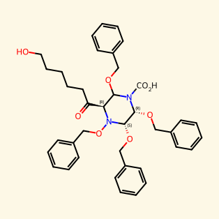 O=C(CCCCCO)[C@H]1C(OCc2ccccc2)N(C(=O)O)[C@H](OCc2ccccc2)[C@H](OCc2ccccc2)N1OCc1ccccc1